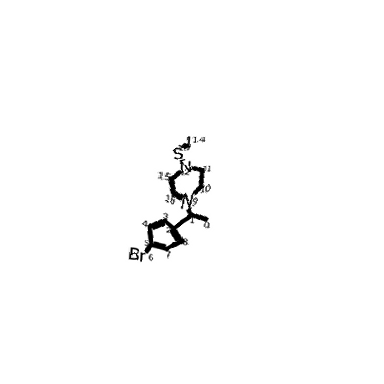 CC(c1ccc(Br)cc1)N1CCN(SI)CC1